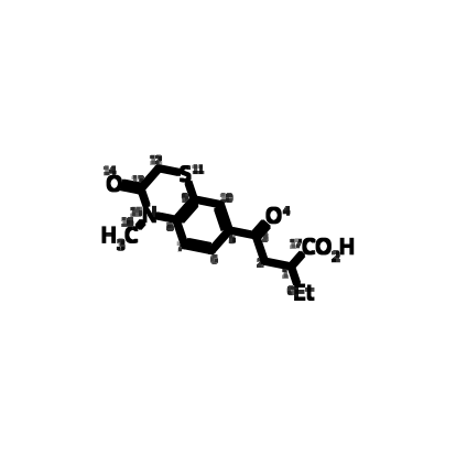 CCC(CC(=O)c1ccc2c(c1)SCC(=O)N2C)C(=O)O